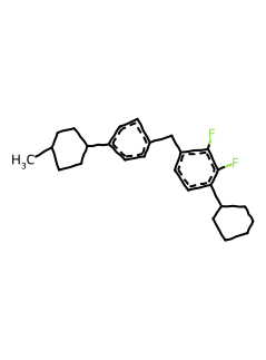 CC1CCC(c2ccc(Cc3ccc(C4CCCCC4)c(F)c3F)cc2)CC1